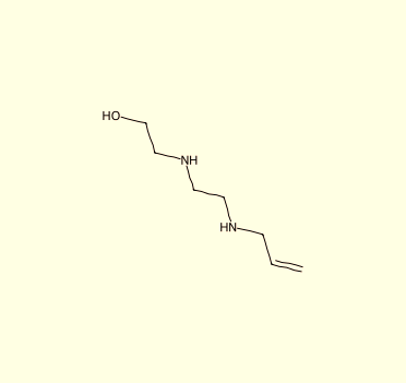 C=CCNCCNCCO